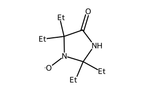 CCC1(CC)NC(=O)C(CC)(CC)N1[O]